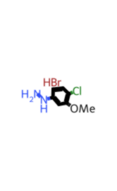 Br.COc1cc(NN)ccc1Cl